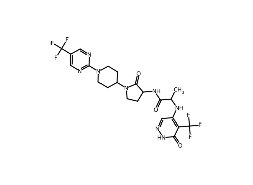 CC(Nc1cn[nH]c(=O)c1C(F)(F)F)C(=O)NC1CCN(C2CCN(c3ncc(C(F)(F)F)cn3)CC2)C1=O